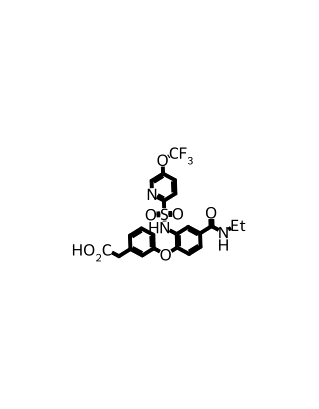 CCNC(=O)c1ccc(Oc2cccc(CC(=O)O)c2)c(NS(=O)(=O)c2ccc(OC(F)(F)F)cn2)c1